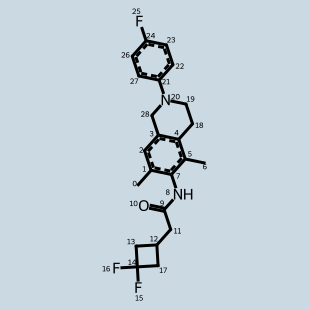 Cc1cc2c(c(C)c1NC(=O)CC1CC(F)(F)C1)CCN(c1ccc(F)cc1)C2